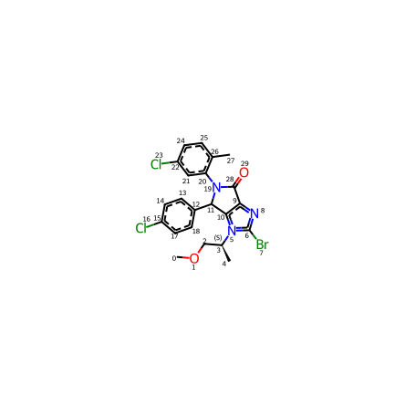 COC[C@H](C)n1c(Br)nc2c1C(c1ccc(Cl)cc1)N(c1cc(Cl)ccc1C)C2=O